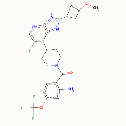 COC1CC(c2nc3c(C4CCN(C(=O)c5ccc(OC(F)(F)F)cc5N)CC4)c(F)cnc3[nH]2)C1